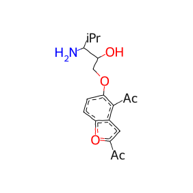 CC(=O)c1cc2c(C(C)=O)c(OCC(O)C(N)C(C)C)ccc2o1